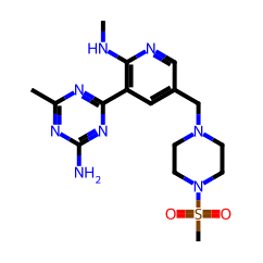 CNc1ncc(CN2CCN(S(C)(=O)=O)CC2)cc1-c1nc(C)nc(N)n1